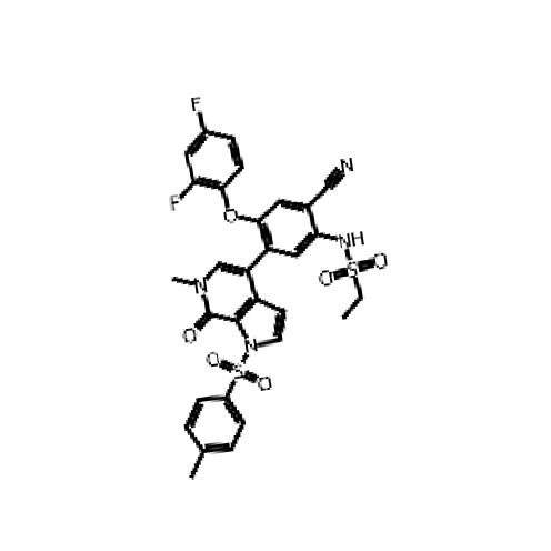 CCS(=O)(=O)Nc1cc(-c2cn(C)c(=O)c3c2ccn3S(=O)(=O)c2ccc(C)cc2)c(Oc2ccc(F)cc2F)cc1C#N